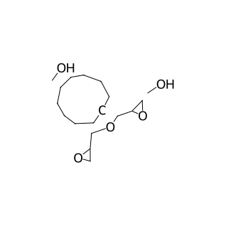 C(OCC1CO1)C1CO1.C1CCCCCCCCC1.CO.CO